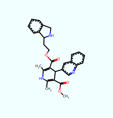 COC(=O)C1=C(C)NC(C)=C(C(=O)OCCC2NCc3ccccc32)C1c1cnc2ccccc2c1